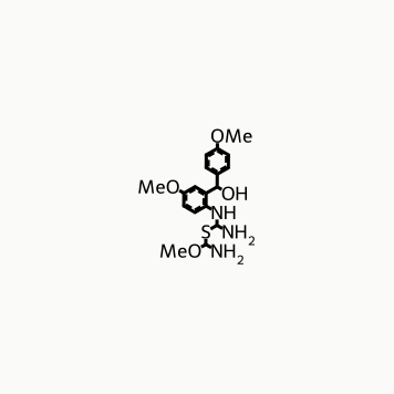 COc1ccc(C(O)c2cc(OC)ccc2NC(N)SC(N)OC)cc1